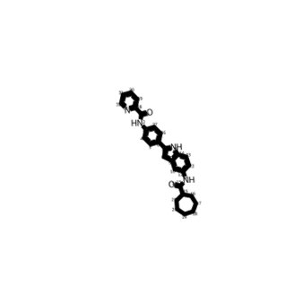 O=C(Nc1ccc(-c2cc3cc(NC(=O)C4CCCCCC4)ccc3[nH]2)cc1)c1ccccn1